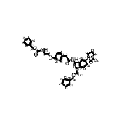 O=C(Cc1ccc(OCCNC(=O)OCc2ccccc2)cc1)Nc1nn(C(=O)OCc2ccccc2)c2ccc(N3CCCS3(=O)=O)cc12